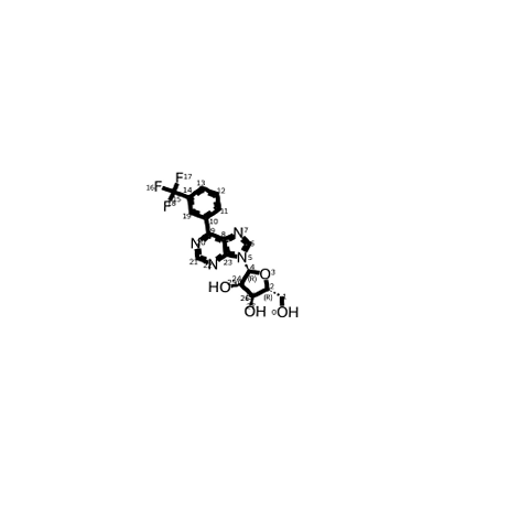 OC[C@H]1O[C@@H](n2cnc3c(-c4cccc(C(F)(F)F)c4)ncnc32)[C@H](O)[C@@H]1O